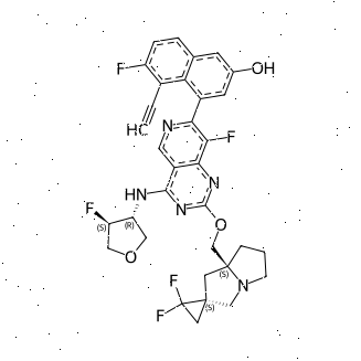 C#Cc1c(F)ccc2cc(O)cc(-c3ncc4c(N[C@@H]5COC[C@H]5F)nc(OC[C@@]56CCCN5C[C@@]5(CC5(F)F)C6)nc4c3F)c12